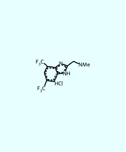 CNCc1nc2c(C(F)(F)F)cc(C(F)(F)F)cc2[nH]1.Cl